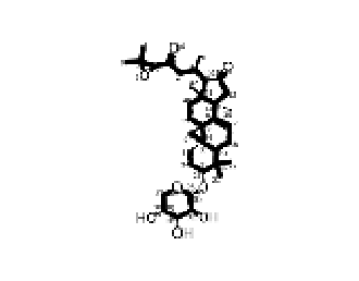 C[C@H](CC(=O)C1OC1(C)C)[C@H]1C(=O)C[C@@]2(C)C3=CCC4C(C)(C)[C@@H](O[C@@H]5OC[C@@H](O)[C@@H](O)C5O)CC[C@@]45C[C@@]35CC[C@]12C